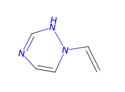 C=CN1C=CN=CN1